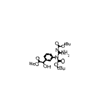 COC(=O)C(O)c1cccc(N(C(=O)OC(C)(C)C)C(N)=NC(=O)OC(C)(C)C)c1